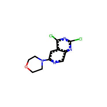 Clc1nc(Cl)c2cc(N3CCOCC3)ncc2n1